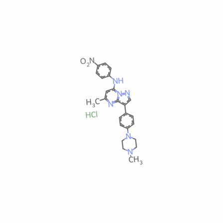 Cc1cc(Nc2ccc([N+](=O)[O-])cc2)n2ncc(-c3ccc(N4CCN(C)CC4)cc3)c2n1.Cl